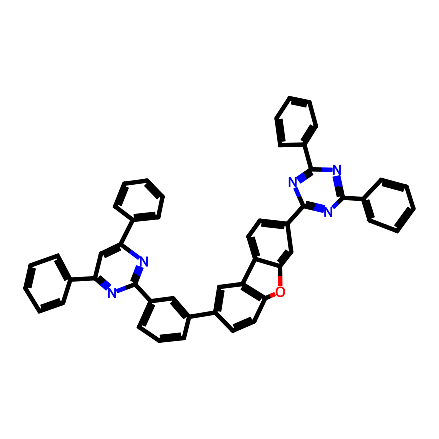 c1ccc(-c2cc(-c3ccccc3)nc(-c3cccc(-c4ccc5oc6cc(-c7nc(-c8ccccc8)nc(-c8ccccc8)n7)ccc6c5c4)c3)n2)cc1